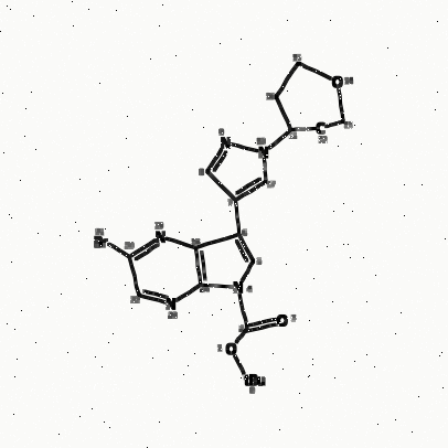 CC(C)(C)OC(=O)n1cc(-c2cnn(C3CCOCC3)c2)c2nc(Br)cnc21